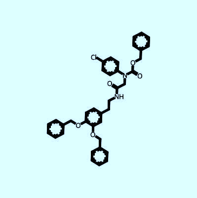 O=C(CN(C(=O)OCc1ccccc1)c1ccc(Cl)cc1)NCCc1ccc(OCc2ccccc2)c(OCc2ccccc2)c1